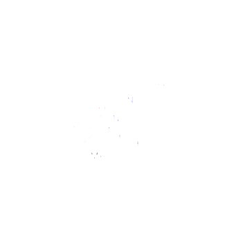 COc1cccc2c1CC(c1ccccc1)(N1CCN(Cc3ccccc3)CC1)C2=O